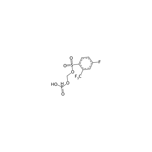 O=[PH](O)OCOS(=O)(=O)c1ccc(F)cc1C(F)(F)F